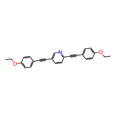 CCOc1ccc(C#Cc2ccc(C#Cc3ccc(OCC)cc3)nc2)cc1